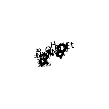 CCN1CCOc2c(cccc2NCC(=O)N(CCN(C)C)Cc2ncccc2C)C1